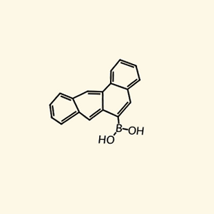 OB(O)c1cc2ccccc2c2cc3ccccc3cc12